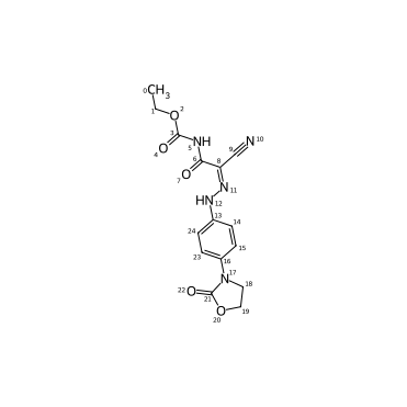 CCOC(=O)NC(=O)/C(C#N)=N\Nc1ccc(N2CCOC2=O)cc1